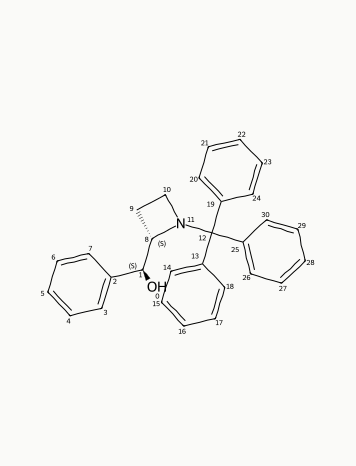 O[C@@H](c1ccccc1)[C@@H]1CCN1C(c1ccccc1)(c1ccccc1)c1ccccc1